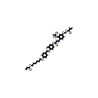 C=CC(=O)OCCCCCCOc1ccc(/C=N/c2ccc(OC(=O)/C=C/c3ccc(OCOC(=O)C=C)cc3NC(C)=O)cc2C)cc1